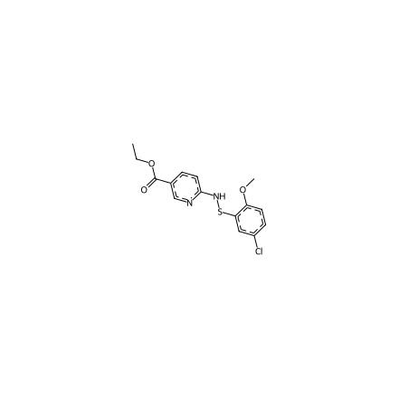 CCOC(=O)c1ccc(NSc2cc(Cl)ccc2OC)nc1